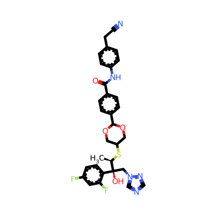 C[C@@H](SC1COC(c2ccc(C(=O)Nc3ccc(CC#N)cc3)cc2)OC1)[C@](O)(Cn1cncn1)c1ccc(F)cc1F